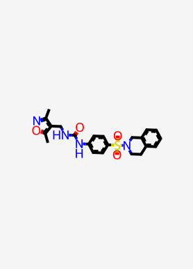 Cc1noc(C)c1CNC(=O)Nc1ccc(S(=O)(=O)N2CCc3ccccc3C2)cc1